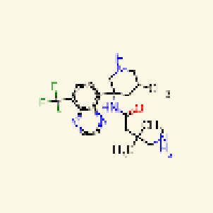 C[C@@H]1CNC[C@](NC(=O)CC(C)(C)CN)(c2ccc(C(F)(F)F)c3nccnc23)C1